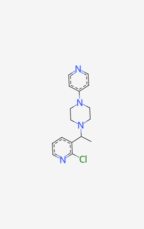 CC(c1cccnc1Cl)N1CCN(c2ccncc2)CC1